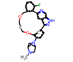 CN1CC2CC1CN2c1ccc2cc1OCCCOCc1cccc(F)c1-c1cc3c-2n[nH]c3cn1